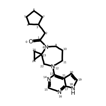 O=C(CC1CCCC1)N1CCCN(c2ncnc3[nH]ccc23)CC12CC2